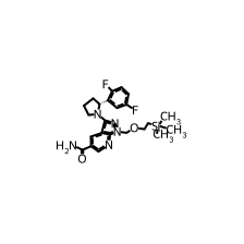 C[Si](C)(C)CCOCn1nc(N2CCC[C@@H]2c2cc(F)ccc2F)c2cc(C(N)=O)cnc21